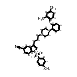 Cc1ccc(S(=O)(=O)n2cc(CCCN3CCN(c4ccccc4Sc4ccc(C)cc4C)CC3)c3cc(C#N)ccc32)cc1